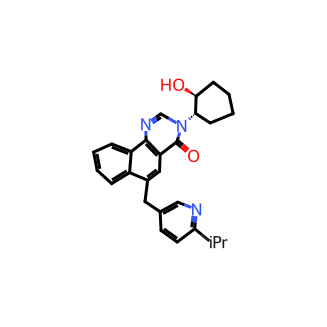 CC(C)c1ccc(Cc2cc3c(=O)n([C@H]4CCCC[C@@H]4O)cnc3c3ccccc23)cn1